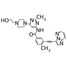 Cc1nc(NC(=O)c2ccc(C)c(C#Cc3cnc4cccnn34)c2)cc(N2CCN(CCO)CC2)n1